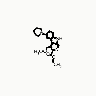 CCOC(=O)c1ncc2[nH]c3ccc(N4CCCCC4)cc3c2c1COC